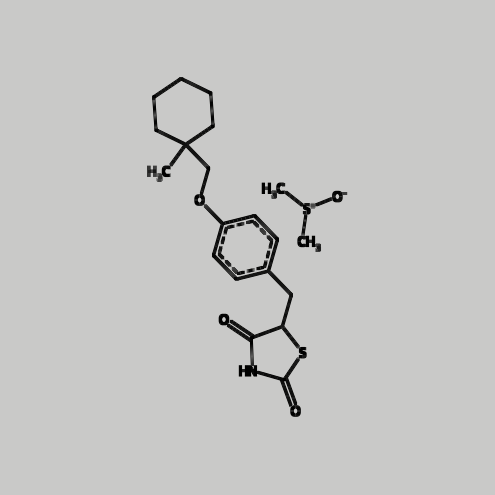 CC1(COc2ccc(CC3SC(=O)NC3=O)cc2)CCCCC1.C[S+](C)[O-]